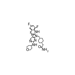 NC(=O)C[C@H]1CC[C@@H](Cn2c(Nc3c(F)cc(F)cc3F)nc3cnc(NC4CCOCC4)nc32)CC1